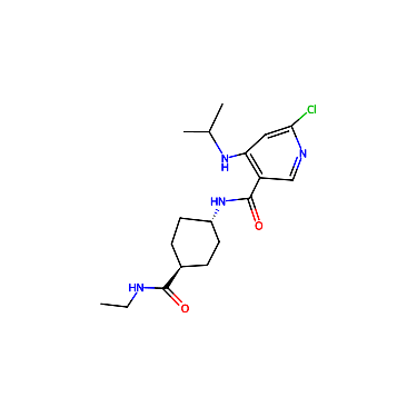 CCNC(=O)[C@H]1CC[C@H](NC(=O)c2cnc(Cl)cc2NC(C)C)CC1